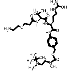 CC(C)[C@H](NC(=O)CCOCCN)C(=O)N[C@@H](CCCNC(N)O)C(=O)Nc1ccc(COC(=O)N(C)CCN(C)C(C)(C)C)cc1